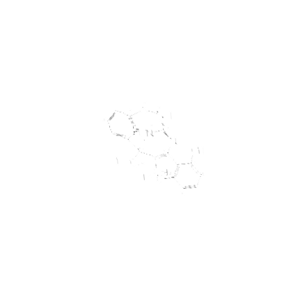 C/C1=C(c2c(C)cccc2C)/N=C(\N)NSc2cccc(c2)C1C